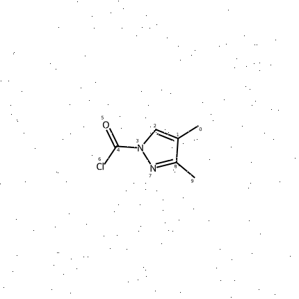 Cc1cn(C(=O)Cl)nc1C